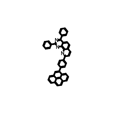 c1ccc(-c2nc(-c3ccccc3)c3ccc4ccc(-c5ccc(-c6cc7cccc8ccc9cccc6c9c87)cc5)nc4c3n2)cc1